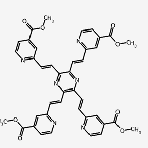 COC(=O)c1ccnc(C=Cc2nc(C=Cc3cc(C(=O)OC)ccn3)c(C=Cc3cc(C(=O)OC)ccn3)nc2C=Cc2cc(C(=O)OC)ccn2)c1